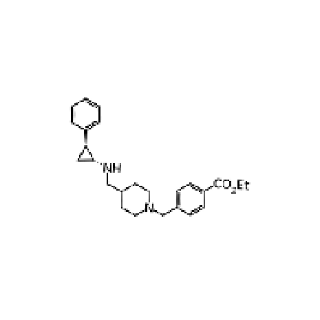 CCOC(=O)c1ccc(CN2CCC(CN[C@@H]3C[C@H]3c3ccccc3)CC2)cc1